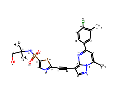 Cc1cc(-c2cc(C(F)(F)F)n3ncc(C#Cc4ncc(S(=O)(=O)NC(C)(C)CO)s4)c3n2)ccc1Cl